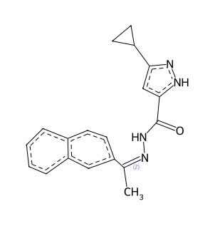 C/C(=N/NC(=O)c1cc(C2CC2)n[nH]1)c1ccc2ccccc2c1